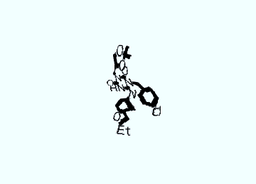 CCc1cc2cc(/N=c3\[nH]c(=O)n(C[C@H]4COC(C)(C)O4)c(=O)n3Cc3ccc(Cl)cc3)ccc2o1